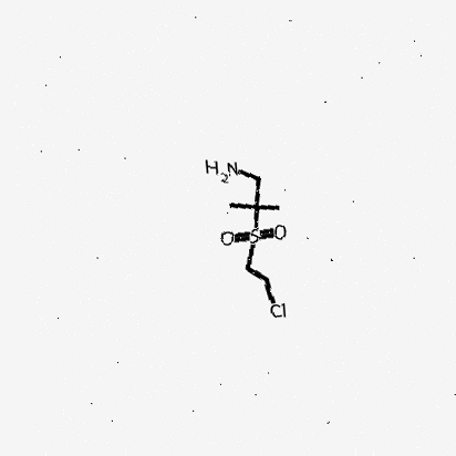 CC(C)(CN)S(=O)(=O)CCCl